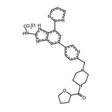 CCOC(=O)Nc1nc2cc(-c3ccc(CN4CCN(C(=O)C5CCCO5)CC4)nc3)cc(-c3ncccn3)c2[nH]1